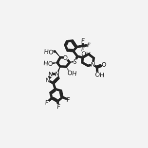 O=C(O)N1CCC(O)(C(S[C@@H]2O[C@H](CO)[C@H](O)[C@H](n3cc(-c4cc(F)c(F)c(F)c4)nn3)[C@H]2O)c2ccccc2C(F)(F)F)CC1